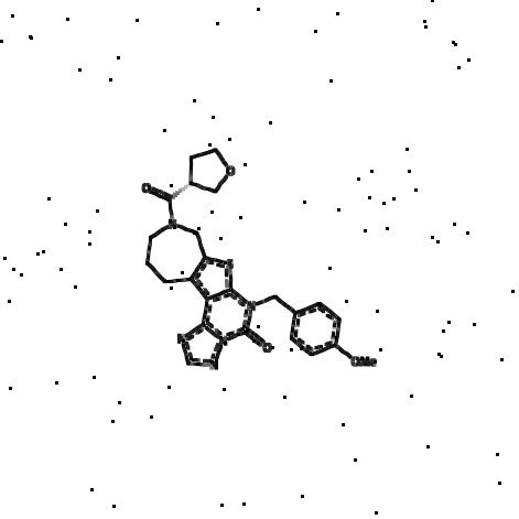 COc1ccc(Cn2c(=O)n3ncnc3c3c4c(sc32)CN(C(=O)[C@@H]2CCOC2)CCC4)cc1